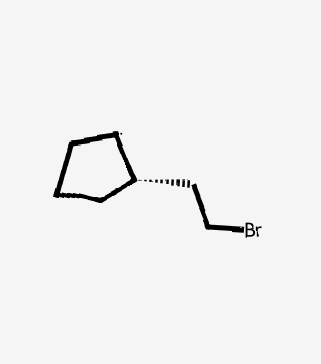 BrCC[C@H]1[CH]CCC1